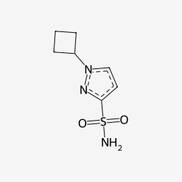 NS(=O)(=O)c1ccn(C2CCC2)n1